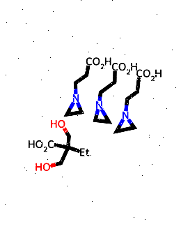 CCC(CO)(CO)C(=O)O.O=C(O)CCN1CC1.O=C(O)CCN1CC1.O=C(O)CCN1CC1